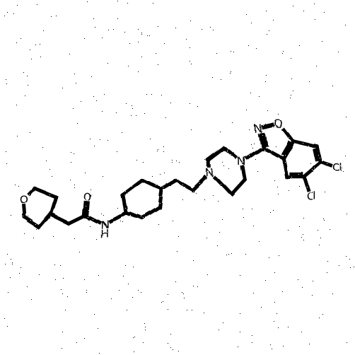 O=C(CC1CCOCC1)NC1CCC(CCN2CCN(c3noc4cc(Cl)c(Cl)cc34)CC2)CC1